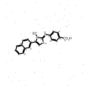 CCn1c(-c2ccc3ccccc3c2)csc1=Nc1ccc(C(=O)O)cc1